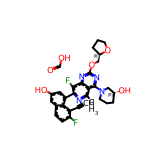 C#Cc1c(F)ccc2cc(O)cc(-c3nc(C)c4c(N5CCC[C@@H](O)C5)nc(OC[C@H]5CCCO5)nc4c3F)c12.O=CO